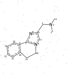 CN(C)Cc1cn2c(n1)-c1ccccc1CC2